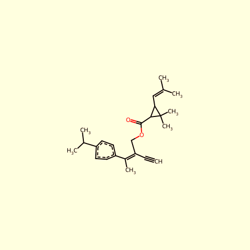 C#CC(COC(=O)C1C(C=C(C)C)C1(C)C)=C(C)c1ccc(C(C)C)cc1